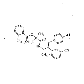 C[C@H](NC(=O)C(C)(C)OC(=O)c1ccccc1C(F)(F)F)[C@@H](Cc1ccc(Cl)cc1)c1cccc(C#N)c1